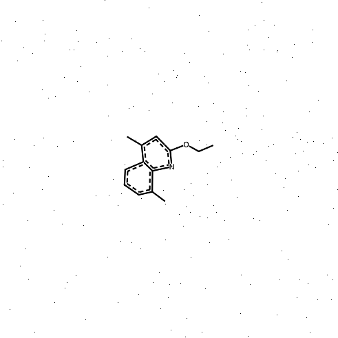 CCOc1cc(C)c2cccc(C)c2n1